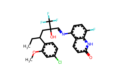 CCC(CC(O)(C=Nc1ccc(F)c2[nH]c(=O)ccc12)C(F)(F)F)c1ccc(Cl)cc1OC